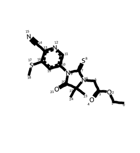 CCOC(=O)CN1C(=S)N(c2cnc(C#N)c(SC)c2)C(=O)C1(C)C